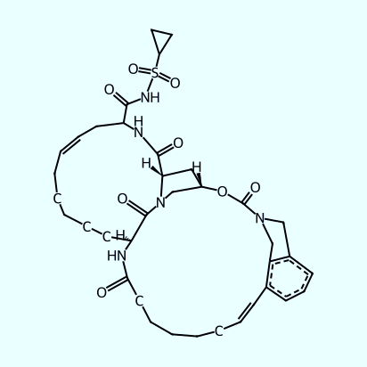 O=C1CCCCC/C=C/c2cccc3c2CN(C3)C(=O)O[C@H]2C[C@H]3C(=O)NC(C(=O)NS(=O)(=O)C4CC4)C/C=C\CCCCC[C@H](N1)C(=O)N3C2